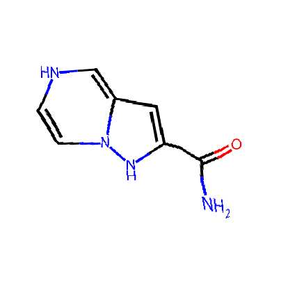 NC(=O)C1=CC2=CNC=CN2N1